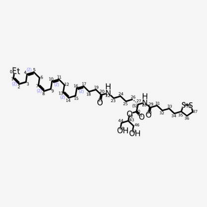 CC/C=C\C/C=C\C/C=C\C/C=C\C/C=C\C/C=C\CCC(=O)NCCCC[C@H](NC(=O)CCCCC1CCSS1)C(=O)OC(CO)CO